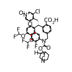 O=C(O)c1ccc(CN(C(=O)O[C@H]2CN3CCC2CC3)c2ccccc2F)cc1[C@@H](Cc1c(Cl)c[n+]([O-])cc1Cl)c1ccc(OC(F)F)c(OC(F)F)c1